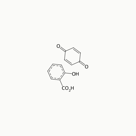 O=C(O)c1ccccc1O.O=C1C=CC(=O)C=C1